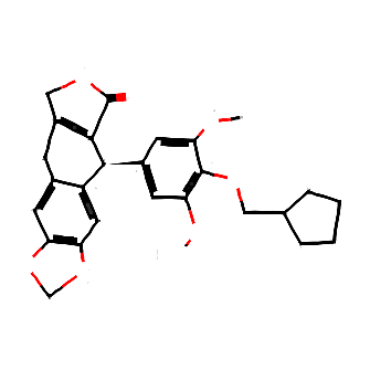 COc1cc([C@@H]2C3=C(COC3=O)Cc3cc4c(cc32)OCO4)cc(OC)c1OCC1CCCC1